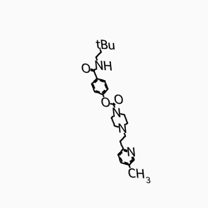 Cc1ccc(CCN2CCN(C(=O)Oc3ccc(C(=O)NCCC(C)(C)C)cc3)CC2)nc1